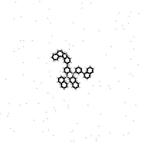 c1cc(-c2cccc3ccccc23)cc(N2c3cc(-c4ccc5sc6ccc7ccccc7c6c5c4)ccc3N(c3cccc4ccccc34)c3cc4ccccc4cc32)c1